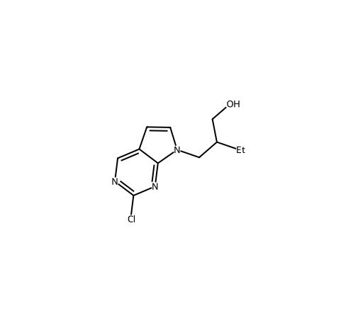 CCC(CO)Cn1ccc2cnc(Cl)nc21